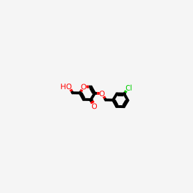 O=c1cc(CO)occ1OCc1cccc(Cl)c1